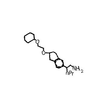 CCCC(CN)c1ccc2c(c1)CCC(OCCOC1CCCCC1)C2